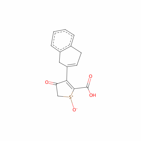 O=C(O)C1=C(C2=CCc3ccccc3C2)C(=O)C[S+]1[O-]